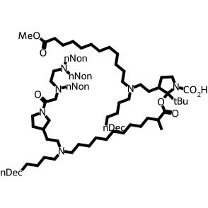 CCCCCCCCCCCCCCN(CCCCCCCCCCC(C)C(=O)OC1(C(C)(C)C)C(CCN(CCCCCCCCCCCCCC)CCCCCCCCCCCC(=O)OC)CCN1C(=O)O)CCC1CCN(C(=O)CN(CCCCCCCCC)CCN(CCCCCCCCC)CCCCCCCCC)C1